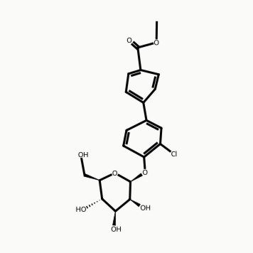 COC(=O)c1ccc(-c2ccc(O[C@@H]3O[C@H](CO)[C@@H](O)[C@H](O)[C@@H]3O)c(Cl)c2)cc1